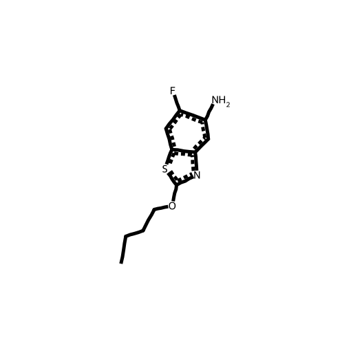 CCCCOc1nc2cc(N)c(F)cc2s1